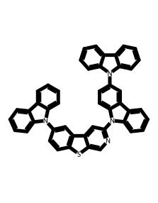 c1ccc2c(c1)c1ccccc1n2-c1ccc2sc3cnc(-n4c5ccccc5c5cc(-n6c7ccccc7c7ccccc76)ccc54)cc3c2c1